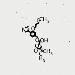 COCCCOc1cc(CO[C@@H](O)[C@@H]2C[C@@H](C(C)C)C(=O)O2)ccc1C1CN=CS1